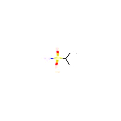 Br.CC(C)S(N)(=O)=O